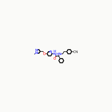 Cn1cc(COc2ccc(NC(=O)[C@H](NCCc3ccc(C#N)cc3)c3ccccc3)nc2)cn1